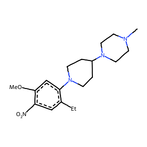 CCc1cc([N+](=O)[O-])c(OC)cc1N1CCC(N2CCN(C)CC2)CC1